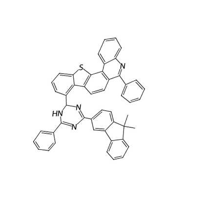 CC1(C)c2ccccc2-c2cc(C3=NC(c4cccc5sc6c(ccc7c(-c8ccccc8)nc8ccccc8c76)c45)NC(c4ccccc4)=N3)ccc21